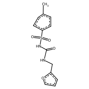 Cc1ccc(S(=O)(=O)NC(=O)NCc2ccco2)cc1